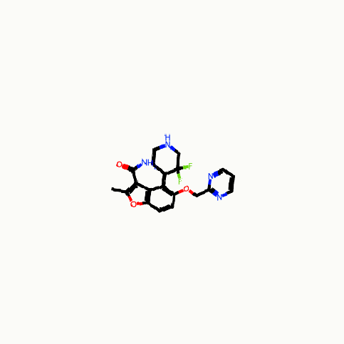 Cc1oc2ccc(OCc3ncccn3)c(C3CCNCC3(F)F)c2c1C(N)=O